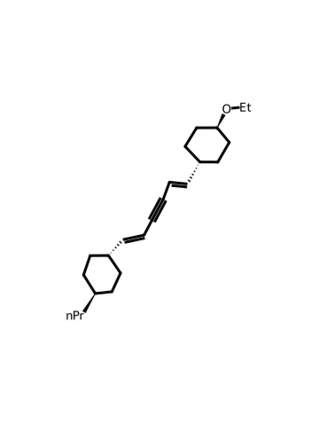 CCC[C@H]1CC[C@H](C=CC#CC=C[C@H]2CC[C@H](OCC)CC2)CC1